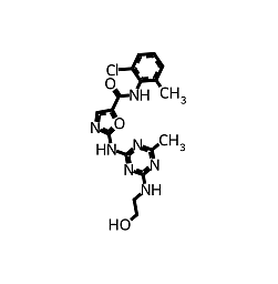 Cc1nc(NCCO)nc(Nc2ncc(C(=O)Nc3c(C)cccc3Cl)o2)n1